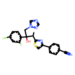 CC(c1nc(-c2ccc(C#N)cc2)cs1)C(O)(Cn1cncn1)c1ccc(F)cc1F